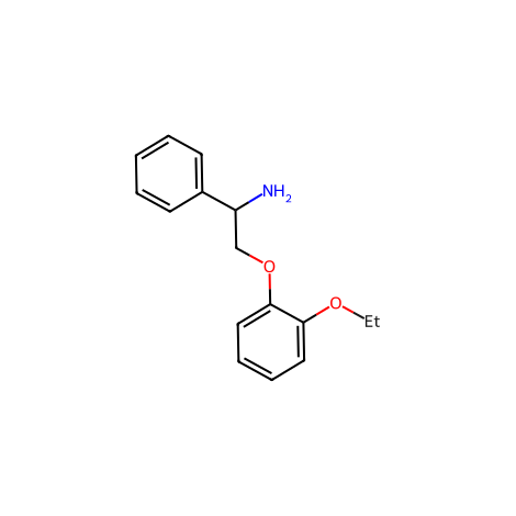 CCOc1ccccc1OCC(N)c1ccccc1